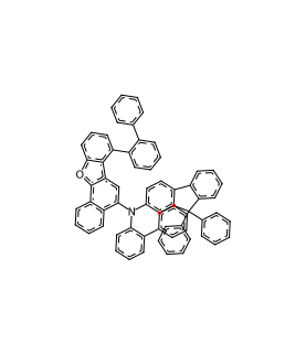 c1ccc(-c2ccccc2-c2cccc3oc4c5ccccc5c(N(c5ccc6c(c5)C(c5ccccc5)(c5ccccc5)c5ccccc5-6)c5ccccc5-c5ccccc5)cc4c23)cc1